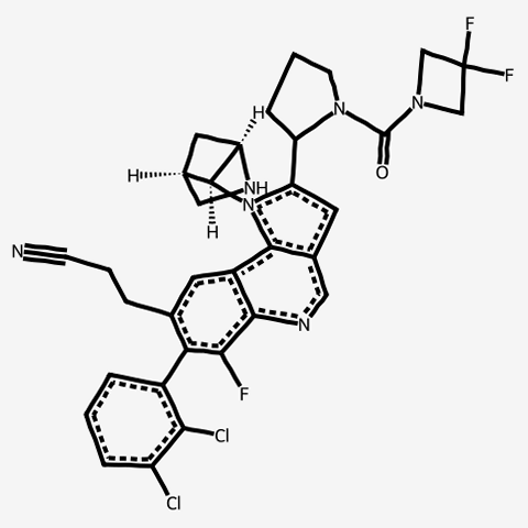 N#CCCc1cc2c(ncc3cc(C4CCCN4C(=O)N4CC(F)(F)C4)n([C@H]4[C@H]5CN[C@@H]4C5)c32)c(F)c1-c1cccc(Cl)c1Cl